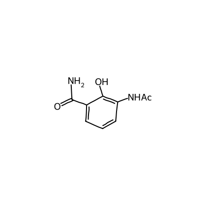 CC(=O)Nc1cccc(C(N)=O)c1O